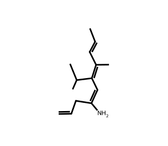 C=CC/C(N)=C\C(=C(/C)C=CC)C(C)C